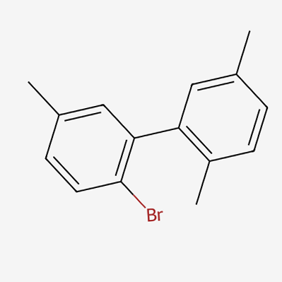 Cc1ccc(C)c(-c2cc(C)ccc2Br)c1